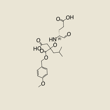 COc1ccc(COC(=O)C(CC(=O)O)(CC(C)C)ON[C@@H](C=O)CCC(=O)O)cc1